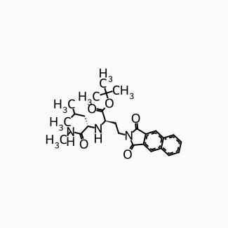 CNC(=O)[C@H](CC(C)C)N[C@H](CCN1C(=O)c2cc3ccccc3cc2C1=O)C(=O)OC(C)(C)C